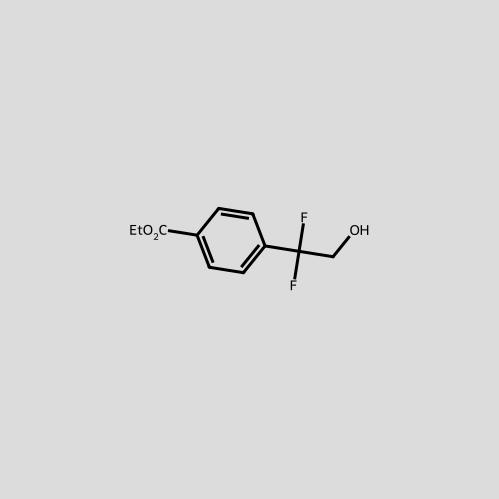 CCOC(=O)c1ccc(C(F)(F)CO)cc1